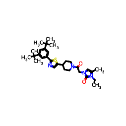 CCn1c(C)cn(CC(=O)N2CCC(c3cnc(-c4cc(C(C)(C)C)cc(C(C)(C)C)c4)s3)CC2)c1=O